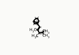 C/C(=C\C1CC2C=CC1C2)C(C)C(C)C